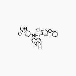 O=C(O)[C@H]1CC[C@@H](Nc2ccnc3[nH]cc(Cc4ccc(Oc5ccccc5)cc4Cl)c23)CC1